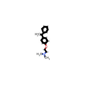 C=C(c1ccccc1)c1ccc(OCCN(C)C)cc1